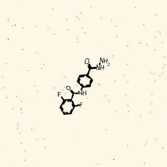 NNC(=O)c1ccc(NC(=O)c2c(F)cccc2F)cc1